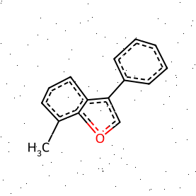 Cc1cccc2c(-c3ccccc3)coc12